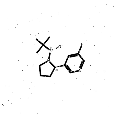 CC(C)(C)[S@+]([O-])N1CCC[C@@H]1c1cncc(F)c1